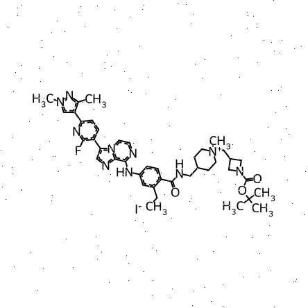 CCc1cc(Nc2nccn3c(-c4ccc(-c5cn(C)nc5C)nc4F)cnc23)ccc1C(=O)NCC1CC[N+](C)(CC2CN(C(=O)OC(C)(C)C)C2)CC1.[I-]